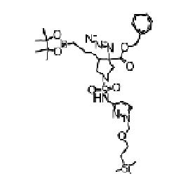 CC1(C)OB(CCCC2CN(S(=O)(=O)Nc3ccn(COCC[Si](C)(C)C)n3)CC2(N=[N+]=[N-])C(=O)OCc2ccccc2)OC1(C)C